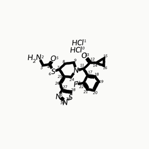 Cl.Cl.NCC(=O)SC1CCN(C(C(=O)C2CC2)c2ccccc2F)C/C1=C\c1csnn1